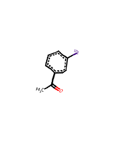 CC(=O)c1cccc([123I])c1